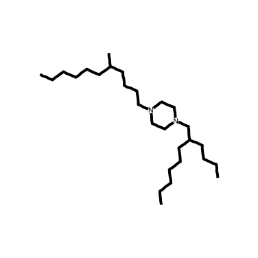 CCCCCCC(C)CCCCN1CCN(CC(CCCC)CCCCCC)CC1